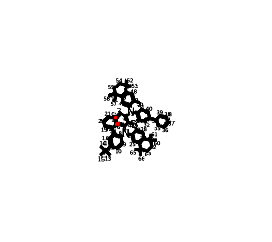 Cc1cc2c3c(c1)N(c1ccc(C(C)(C)C)cc1-c1ccccc1)c1cc4c(cc1B3c1cc(-c3ccccc3)ccc1N2c1cc2c(cc1C)C(C)(C)CCC2(C)C)C(C)(C)CCC4(C)C